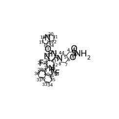 NS(=O)(=O)CC1CCCN(c2nc(OCC34CCCN3CCC4)nc3c(F)c(-c4cccc5cccc(C(F)F)c45)ncc23)C1